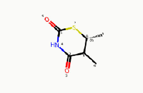 CC1C(=O)NC(=O)S[C@@H]1C